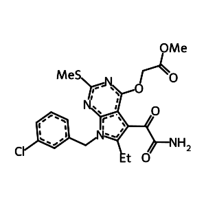 CCc1c(C(=O)C(N)=O)c2c(OCC(=O)OC)nc(SC)nc2n1Cc1cccc(Cl)c1